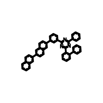 c1ccc(-c2nc(-c3cccc(-c4ccc5cc(-c6ccc7ccccc7c6)ccc5c4)c3)nc(-c3ccccc3-c3ccccc3)n2)cc1